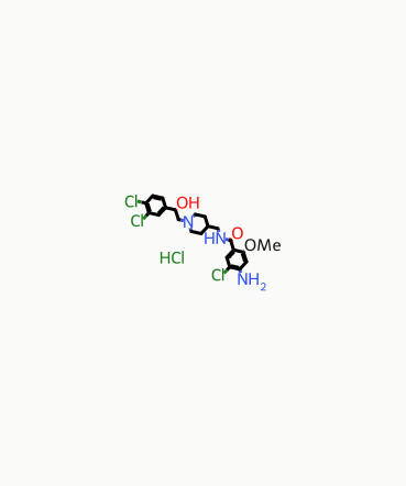 COc1cc(N)c(Cl)cc1C(=O)NCC1CCN(CC(O)c2ccc(Cl)c(Cl)c2)CC1.Cl